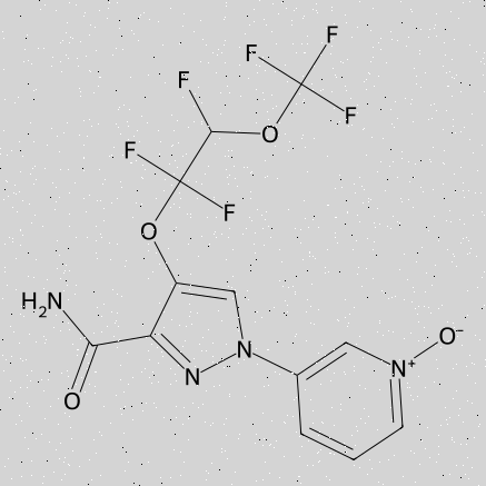 NC(=O)c1nn(-c2ccc[n+]([O-])c2)cc1OC(F)(F)C(F)OC(F)(F)F